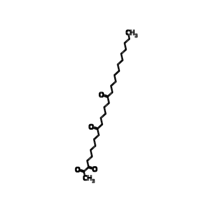 CCCCCCCCCCCCC(=O)CCCCCC(=O)CCCCCCC(=O)C(C)=O